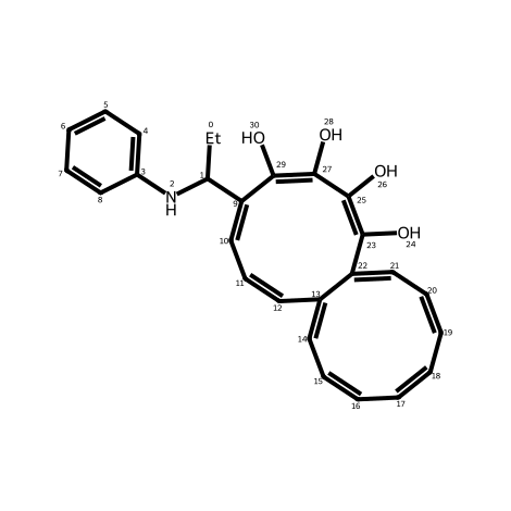 CCC(Nc1ccccc1)c1cccc2ccccccccc2c(O)c(O)c(O)c1O